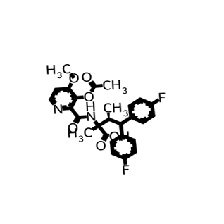 COc1ccnc(C(=O)NC(C)(C(=O)O)[C@@H](C)C(c2ccc(F)cc2)c2ccc(F)cc2)c1OC(C)=O